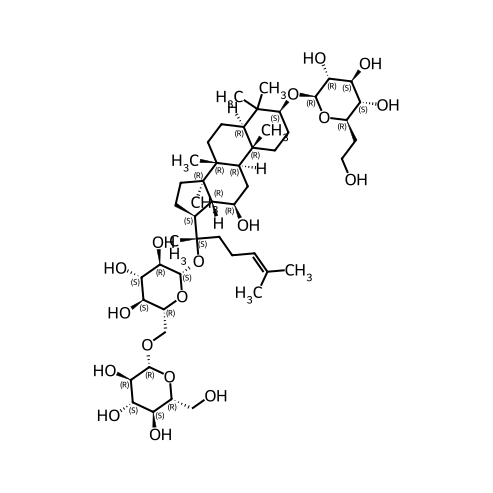 CC(C)=CCC[C@](C)(O[C@@H]1O[C@H](CO[C@@H]2O[C@H](CO)[C@@H](O)[C@H](O)[C@H]2O)[C@@H](O)[C@H](O)[C@H]1O)[C@H]1CC[C@]2(C)[C@@H]1[C@H](O)C[C@@H]1[C@@]3(C)CC[C@H](O[C@@H]4O[C@H](CCO)[C@@H](O)[C@H](O)[C@H]4O)C(C)(C)[C@@H]3CC[C@]12C